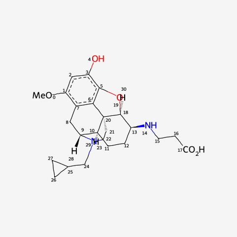 COc1cc(O)c2c3c1C[C@@H]1[C@@H]4CC[C@H](NCCC(=O)O)[C@H](O2)[C@]34CCN1CC1CC1